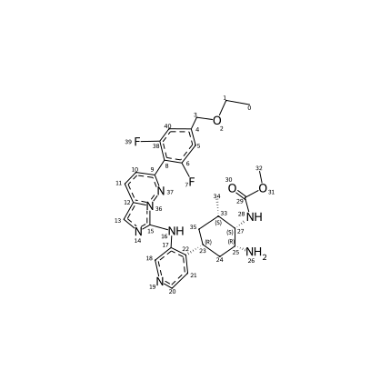 CCOCc1cc(F)c(-c2ccc3cnc(Nc4cnccc4[C@H]4C[C@@H](N)[C@@H](NC(=O)OC)[C@@H](C)C4)n3n2)c(F)c1